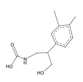 Cc1ccc(C(CO)CNC(=O)O)cc1C